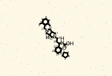 C1CCCC1.Cc1cccc(C)c1CN1CC2CN(CCC(NC(=O)O)c3ccccc3)C[C@H]2C1